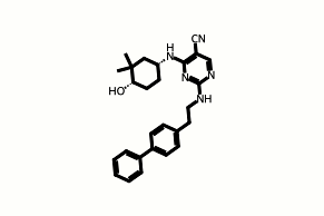 CC1(C)C[C@H](Nc2nc(NCCc3ccc(-c4ccccc4)cc3)ncc2C#N)CC[C@@H]1O